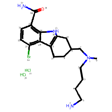 CN(CCCCN)CC1CCc2c([nH]c3c(C(N)=O)ccc(Br)c23)C1.Cl.Cl